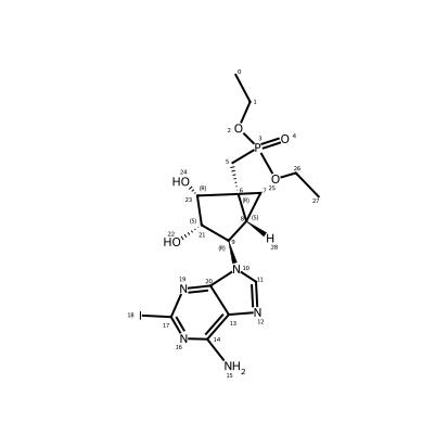 CCOP(=O)(C[C@]12C[C@@H]1[C@@H](n1cnc3c(N)nc(I)nc31)[C@H](O)[C@@H]2O)OCC